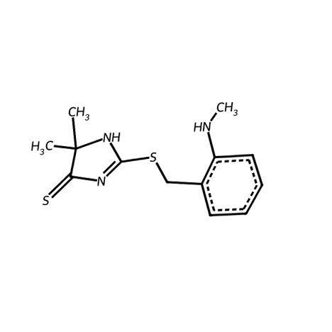 CNc1ccccc1CSC1=NC(=S)C(C)(C)N1